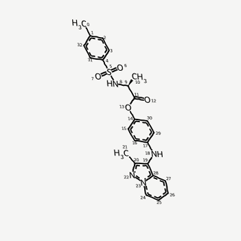 Cc1ccc(S(=O)(=O)N[C@@H](C)C(=O)Oc2ccc(Nc3c(C)nn4ccccc34)cc2)cc1